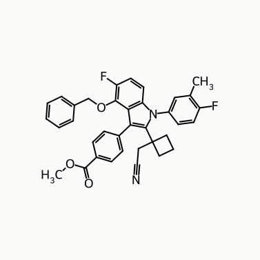 COC(=O)c1ccc(-c2c(C3(CC#N)CCC3)n(-c3ccc(F)c(C)c3)c3ccc(F)c(OCc4ccccc4)c23)cc1